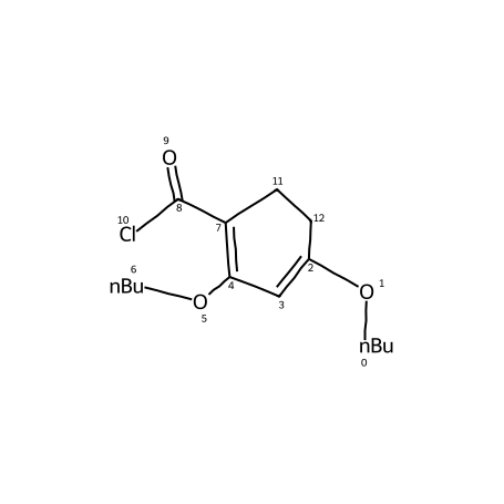 CCCCOC1=CC(OCCCC)=C(C(=O)Cl)CC1